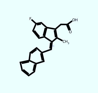 CC1=C(CC(=O)O)c2cc(F)ccc2/C1=C\c1ccc2ccccc2c1